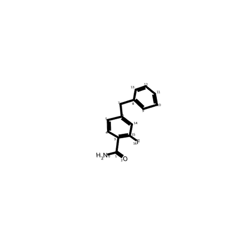 NC(=O)c1ccc(Cc2ccccc2)cc1F